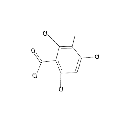 Cc1c(Cl)cc(Cl)c(C(=O)Cl)c1Cl